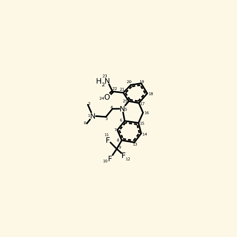 CN(C)CCN1c2cc(C(F)(F)F)ccc2Cc2cccc(C(N)=O)c21